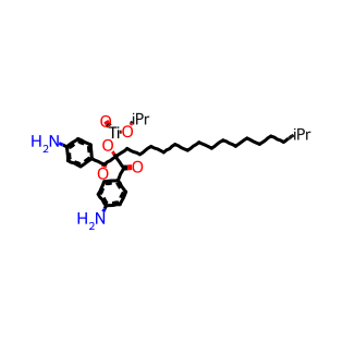 CC(C)CCCCCCCCCCCCCCC([O][Ti](=[O])[O]C(C)C)(C(=O)c1ccc(N)cc1)C(=O)c1ccc(N)cc1